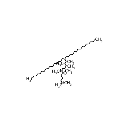 CCCCCCCCCCCCCCCCC(CCCCCCCCCCCCCCCC)=C(C)C(C)C(C)C(C)CN(C)C(=O)CCCN(C)C